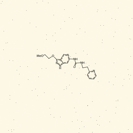 COCCOc1n[nH]c2cc(NC(=O)NCCc3ccccn3)ncc12